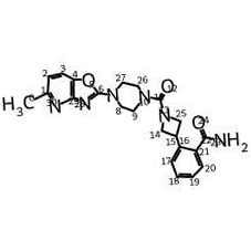 Cc1ccc2oc(N3CCN(C(=O)N4CC(c5ccccc5C(N)=O)C4)CC3)nc2n1